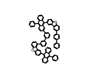 c1ccc(-c2ccc(-c3ccc4oc5ccc(-c6c7ccccc7c(-c7ccccc7)c7ccc(-c8cccc(-c9cccc(-c%10cccc%11oc%12ccc(-c%13c%14ccccc%14c(-c%14ccccc%14)c%14ccccc%13%14)cc%12c%10%11)c9)c8)cc67)cc5c4c3)cc2)cc1